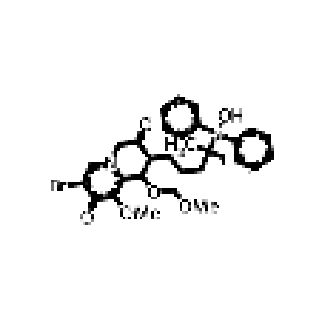 COCOC1c2c(OC)c(=O)c(Br)cn2CC(=O)C1CCCC(C)(C)[Si](O)(c1ccccc1)c1ccccc1